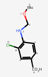 CC(C)(C)OCNc1ccc(C(=O)O)cc1Cl